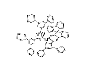 c1ccc(-c2cc(-c3ccccc3)cc(-c3nc(-c4cc(-c5ccccc5)cc(-c5ccccc5)c4)nc(-n4c5cc6c(cc5c5c(-c7ccccc7)cc(-c7ccccc7)cc54)-c4ccccc4C64c5ccccc5-c5ccccc54)n3)c2)cc1